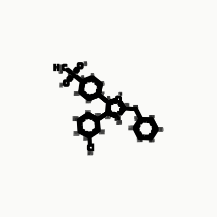 CS(=O)(=O)c1ccc(-c2oc(Cc3ccccc3)nc2-c2cccc(Cl)c2)cc1